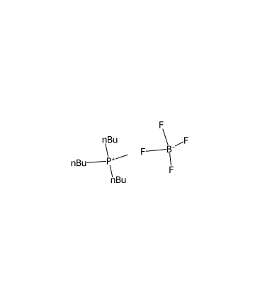 CCCC[P+](C)(CCCC)CCCC.F[B-](F)(F)F